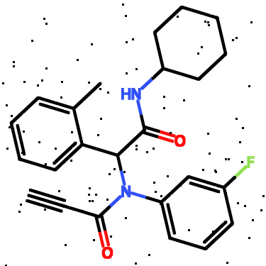 C#CC(=O)N(c1cccc(F)c1)C(C(=O)NC1CCCCC1)c1ccccc1C